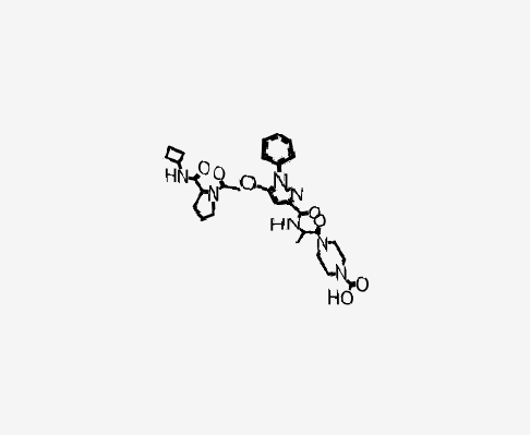 CC(NC(=O)c1cc(OCC(=O)N2CCCC2C(=O)NC2CCC2)n(-c2ccccc2)n1)C(=O)N1CCN(C(=O)O)CC1